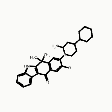 CCc1cc2c(cc1N1CCC(C3CCCCC3)CC1N)C(C)(C)c1[nH]c3ccccc3c1C2=O